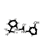 O=C(Nc1cccc(O)c1)Nc1ccccc1C(F)(F)F